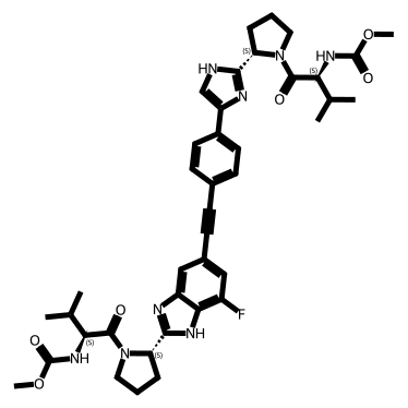 COC(=O)N[C@H](C(=O)N1CCC[C@H]1c1nc(-c2ccc(C#Cc3cc(F)c4[nH]c([C@@H]5CCCN5C(=O)[C@@H](NC(=O)OC)C(C)C)nc4c3)cc2)c[nH]1)C(C)C